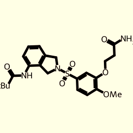 COc1ccc(S(=O)(=O)N2Cc3cccc(NC(=O)C(C)(C)C)c3C2)cc1OCCC(N)=O